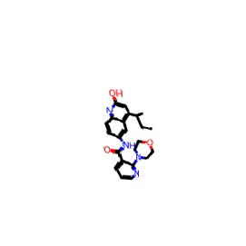 CCC(C)c1cc(O)nc2ccc(NC(=O)c3cccnc3N3CCOCC3)cc12